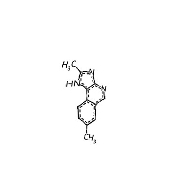 Cc1ccc2c(cnc3nc(C)[nH]c32)c1